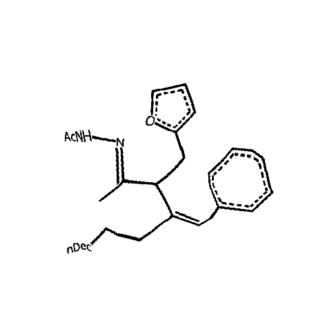 CCCCCCCCCCCCC(=Cc1ccccc1)C(Cc1ccco1)C(C)=NNC(C)=O